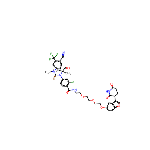 CN(C(=S)N(c1ccc(C(=O)NCCOCCOCCOc2ccc3occ(C4CCC(=O)NC4=O)c3c2)c(F)c1)C(C)(C)C=O)c1ccc(C#N)c(C(F)(F)F)c1